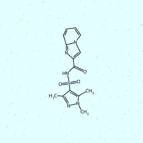 Cc1nn(C)c(C)c1S(=O)(=O)NC(=O)c1cn2ccccc2n1